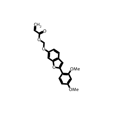 C=CC(=O)OCOc1ccc2cc(-c3ccc(OC)cc3OC)oc2c1